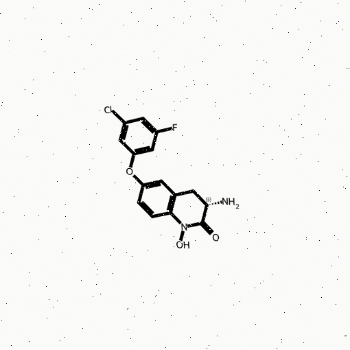 N[C@H]1Cc2cc(Oc3cc(F)cc(Cl)c3)ccc2N(O)C1=O